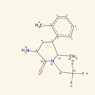 Cc1ccccc1C1CC(N)C(=O)N(CC(F)(F)F)C1C